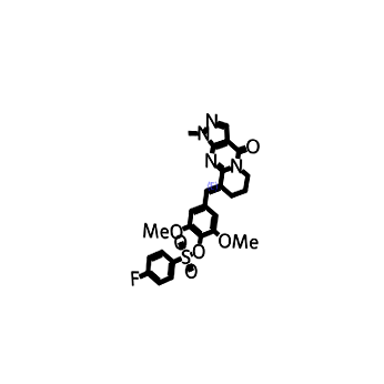 COc1cc(/C=C2\CCCn3c2nc2c(cnn2C)c3=O)cc(OC)c1OS(=O)(=O)c1ccc(F)cc1